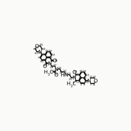 C=c1c2ccc(N3CCOCC3)c3cccc(c(=O)n1CCNCCCN(CCN1C(=O)c4cccc5c(N6CCOCC6)ccc(c45)C1=O)C(C)=O)c32